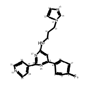 Fc1ccc(-c2cc(NCCCn3ccnc3)nc(-c3ccncc3)n2)cc1